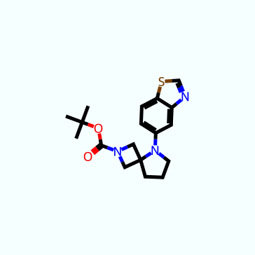 CC(C)(C)OC(=O)N1CC2(CCCN2c2ccc3scnc3c2)C1